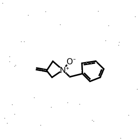 C=C1C[N+]([O-])(Cc2ccccc2)C1